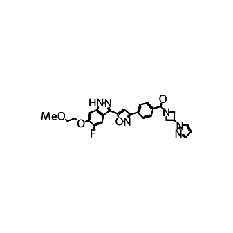 COCCOc1cc2[nH]nc(-c3cc(-c4ccc(C(=O)N5CC(n6cccn6)C5)cc4)no3)c2cc1F